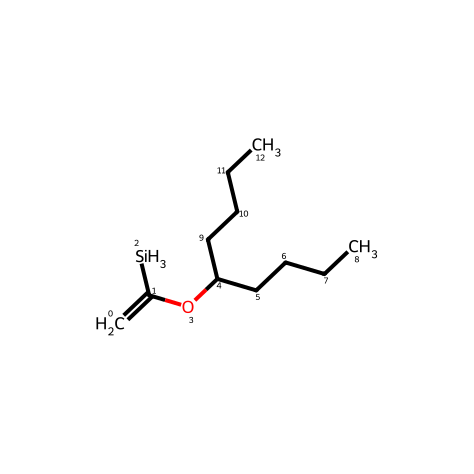 C=C([SiH3])OC(CCCC)CCCC